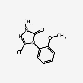 COc1ccccc1-n1c(Cl)nn(C)c1=O